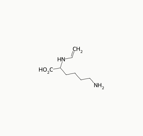 C=CNC(CCCCN)C(=O)O